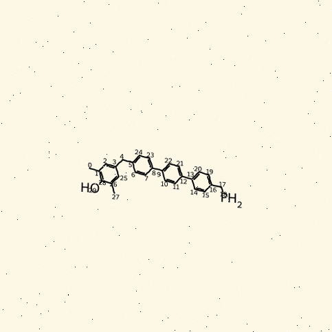 Cc1cc(Cc2ccc(-c3ccc(-c4ccc(CP)cc4)cc3)cc2)cc(C)c1O